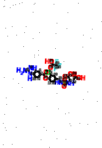 N=C(N)Nc1ccc(C(=O)Oc2ccc(CNS(=O)(=O)N[C@@H](CC(=O)O)C(=O)O)cc2Cl)cc1.O=C(O)C(F)(F)F